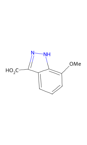 COc1cccc2c(C(=O)O)n[nH]c12